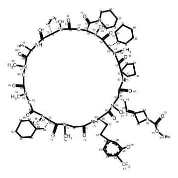 CCCC1NC(=O)[C@H](CC(C)C)N(C)C(=O)C[C@@H](C(=O)N2CCCCC2)N(C)C(=O)[C@H](C2CCCCC2)N(C)C(=O)C2(CCCC2)NC(=O)[C@H](CC=C2CN(C(=O)OC(C)(C)C)C2)N(C)C(=O)[C@@H](CCc2ccc(C(F)(F)F)c(Cl)c2)NC(=O)CN(C)C(=O)[C@H](CC2CCCCC2)N(C)C(=O)CN(C)C(=O)CN(C)C1=O